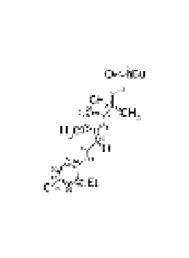 C=C(CCC(=O)CCCC)c1cc(C(=O)CCc2ccc(Cl)cc2CC)c(C)cc1C